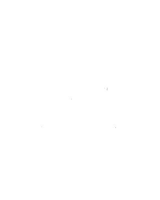 CC(CCNCCCN)NCCCN